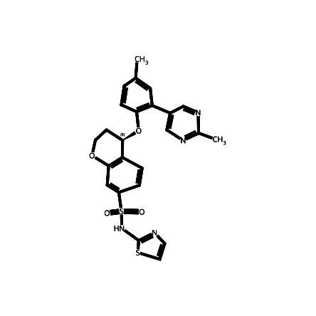 Cc1ccc(O[C@@H]2CCOc3cc(S(=O)(=O)Nc4nccs4)ccc32)c(-c2cnc(C)nc2)c1